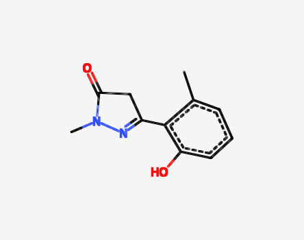 Cc1cccc(O)c1C1=NN(C)C(=O)C1